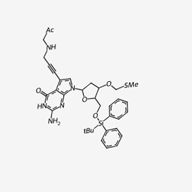 CSCOC1CC(n2cc(C#CCNCC(C)=O)c3c(=O)[nH]c(N)nc32)OC1CO[Si](c1ccccc1)(c1ccccc1)C(C)(C)C